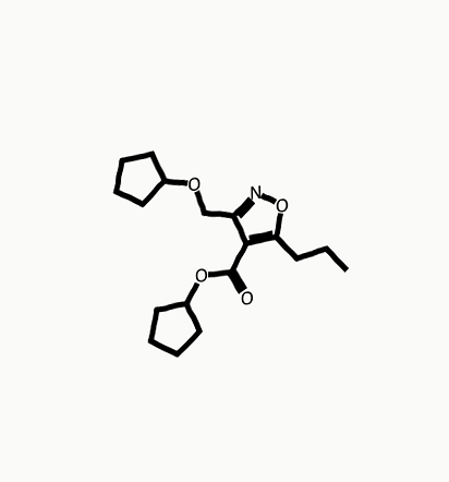 CCCc1onc(COC2CCCC2)c1C(=O)OC1CCCC1